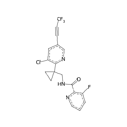 O=C(NCC1(c2ncc(C#CC(F)(F)F)cc2Cl)CC1)c1ncccc1F